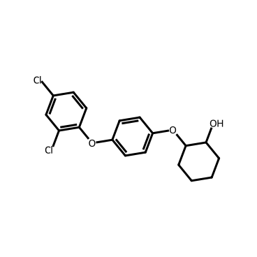 OC1CCCCC1Oc1ccc(Oc2ccc(Cl)cc2Cl)cc1